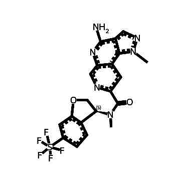 CN(C(=O)c1cc2c(cn1)nc(N)c1cnn(C)c12)[C@@H]1COc2cc(S(F)(F)(F)(F)F)ccc21